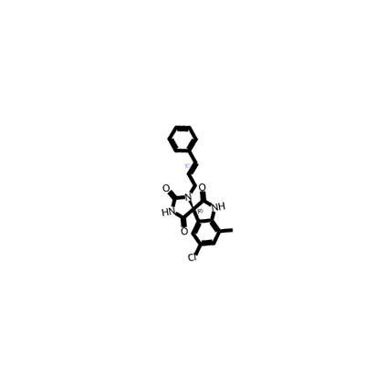 Cc1cc(Cl)cc2c1NC(=O)[C@@]21C(=O)NC(=O)N1C/C=C/c1ccccc1